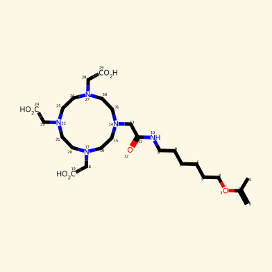 C=C(C)OCCCCCCNC(=O)CN1CCN(CC(=O)O)CCN(CC(=O)O)CCN(CC(=O)O)CC1